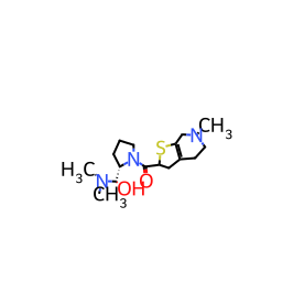 CN1CCC2=C(C1)SC(C(=O)N1CCC[C@H]1C(O)N(C)C)C2